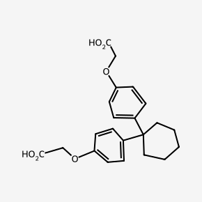 O=C(O)COc1ccc(C2(c3ccc(OCC(=O)O)cc3)CCCCC2)cc1